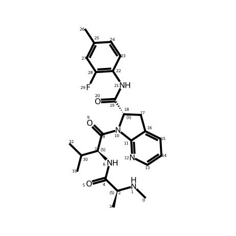 CN[C@@H](C)C(=O)N[C@H](C(=O)N1c2ncccc2C[C@H]1C(=O)Nc1ccc(C)cc1F)C(C)C